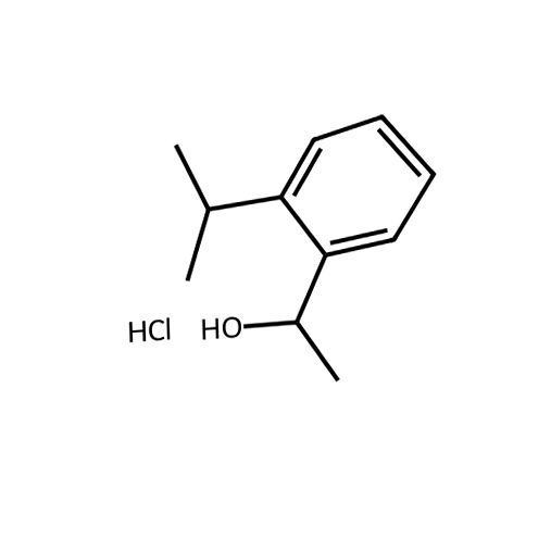 CC(C)c1ccccc1C(C)O.Cl